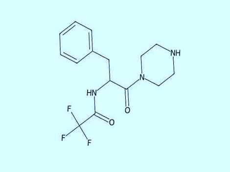 O=C(C(Cc1ccccc1)NC(=O)C(F)(F)F)N1CCNCC1